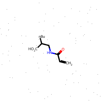 C=CC(=O)NCC(CCCC)C(=O)O